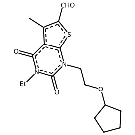 CCn1c(=O)c2c(C)c(C=O)sc2n(CCOC2CCCC2)c1=O